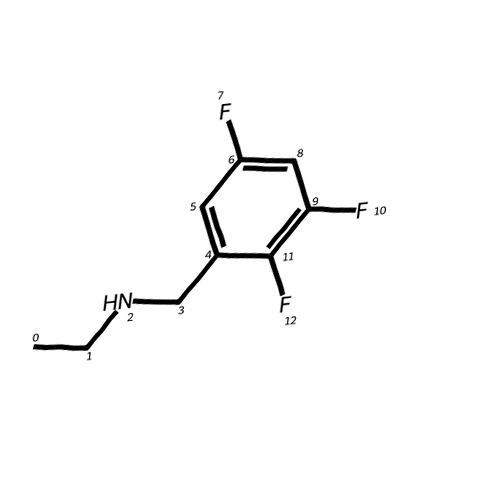 CCNCc1cc(F)cc(F)c1F